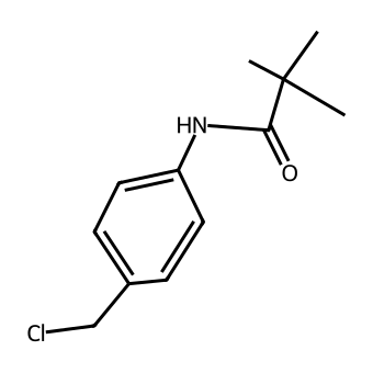 CC(C)(C)C(=O)Nc1ccc(CCl)cc1